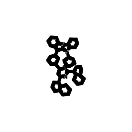 c1ccc(-n2c3ccccc3n3c4ccccc4c(-c4cccc(-c5cc(-c6cccc7ccccc67)nc(-c6cccc7ccccc67)n5)c4)c23)cc1